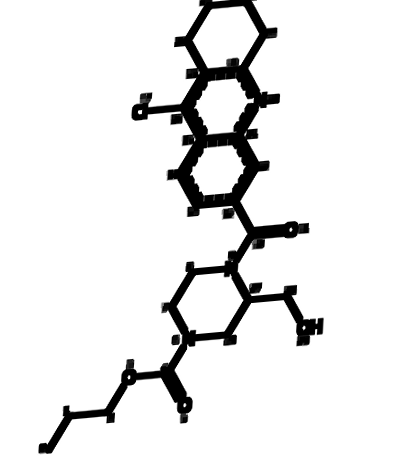 CCCOC(=O)N1CCN(C(=O)c2ccc3c(Cl)c4c(nc3c2)CCCC4)C(CO)C1